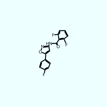 O=C(Nc1cc(-c2ccc(F)cc2)on1)c1c(F)cccc1F